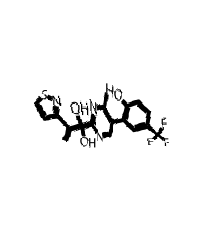 C=C(c1ccsn1)C(O)(O)c1ncc(-c2cc(C(F)(F)F)ccc2O)c(C)n1